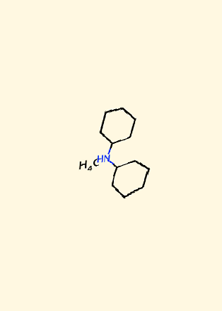 C.C1CCC(NC2CCCCC2)CC1